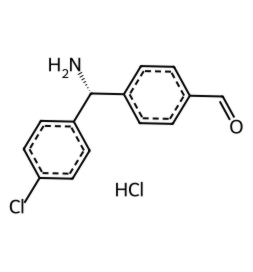 Cl.N[C@@H](c1ccc(Cl)cc1)c1ccc(C=O)cc1